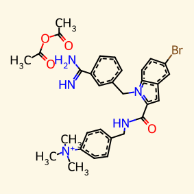 CC(=O)OC(C)=O.C[N+](C)(C)c1ccc(CNC(=O)c2cc3cc(Br)ccc3n2Cc2cccc(C(=N)N)c2)cc1